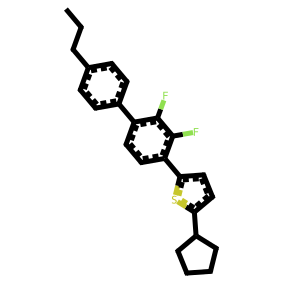 CCCc1ccc(-c2ccc(-c3ccc(C4CCCC4)s3)c(F)c2F)cc1